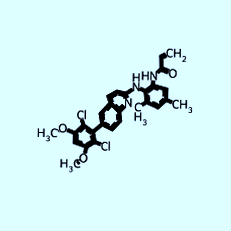 C=CC(=O)Nc1cc(C)cc(C)c1Nc1ccc2cc(-c3c(Cl)c(OC)cc(OC)c3Cl)ccc2n1